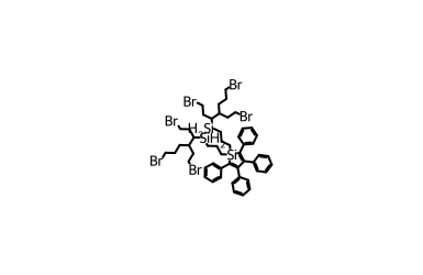 BrCCCC(CCBr)C(CCBr)[SiH2]CCC[Si]1(CCC[SiH2]C(CCBr)C(CCBr)CCCBr)C(c2ccccc2)=C(c2ccccc2)C(c2ccccc2)=C1c1ccccc1